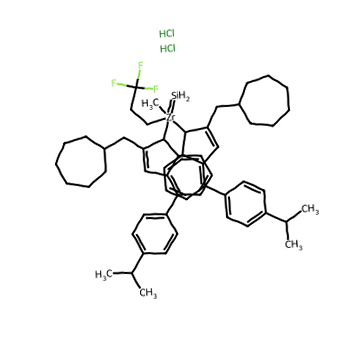 CC(C)c1ccc(-c2cccc3c2C=C(CC2CCCCCC2)[CH]3[Zr]([CH3])(=[SiH2])([CH2]CC(F)(F)F)[CH]2C(CC3CCCCCC3)=Cc3c(-c4ccc(C(C)C)cc4)cccc32)cc1.Cl.Cl